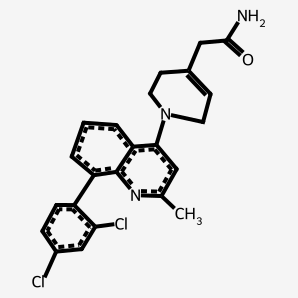 Cc1cc(N2CC=C(CC(N)=O)CC2)c2cccc(-c3ccc(Cl)cc3Cl)c2n1